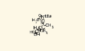 Cc1ccc(C(C)(C)N2CCS(O)(O)CC2)cc1-c1ccc2c(n1)n(C)c(=O)n2CC(C)(C)C